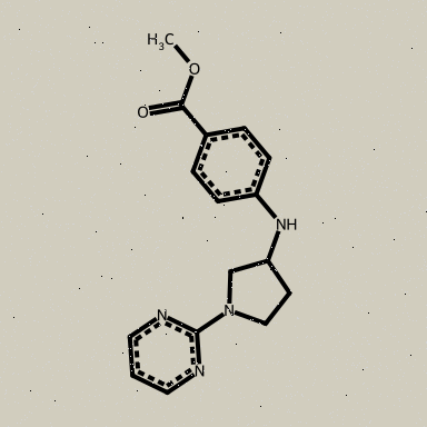 COC(=O)c1ccc(NC2CCN(c3ncccn3)C2)cc1